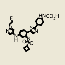 O=C(O)NC1CCC(c2ncc(C3C=CC(Nc4cnn(CCF)c4)=CC3=NS(=O)(=O)C3CCC3)s2)CC1